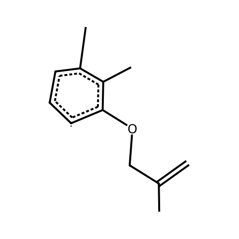 C=C(C)COc1[c]ccc(C)c1C